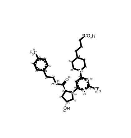 O=C(O)CCCC1CCN(c2cc(N3C[C@H](O)C[C@H]3C(=O)NCCc3ccc(C(F)(F)F)cc3)nc(C(F)(F)F)n2)CC1